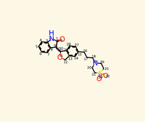 O=C1Nc2ccccc2/C1=C1\OCc2cc(CCCN3CCS(=O)(=O)CC3)ccc21